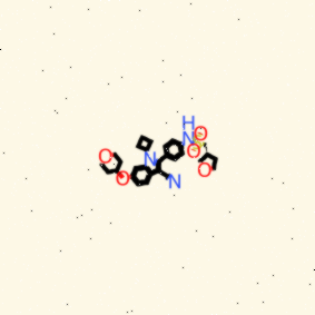 N#Cc1c(-c2ccc(NS(=O)(=O)C[C@@H]3CCOC3)cc2)n(C2CCC2)c2cc(OC3CCOCC3)ccc12